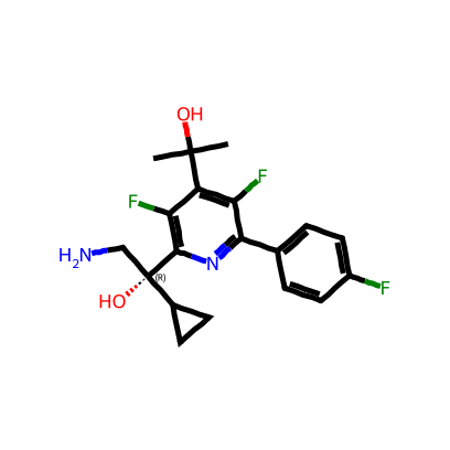 CC(C)(O)c1c(F)c(-c2ccc(F)cc2)nc([C@](O)(CN)C2CC2)c1F